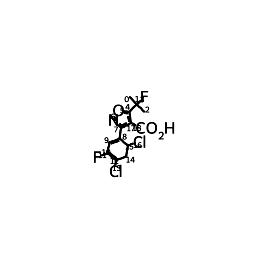 CC(C)(F)c1onc(C2=CC(F)=C(Cl)CC2Cl)c1C(=O)O